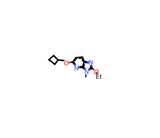 CCOc1nc2ccc(OCC3CCC3)nc2n1C